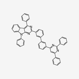 c1ccc(-c2cc(-c3cccc(-c4cccc(-c5nc(-c6ccccc6)c6c7ccccc7n(-c7ccccc7)c6n5)c4)c3)nc(-c3ccccc3)n2)cc1